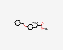 CO/C(=C\c1ccc(OCc2ccccc2)cc1)C(=O)OC(C)(C)C